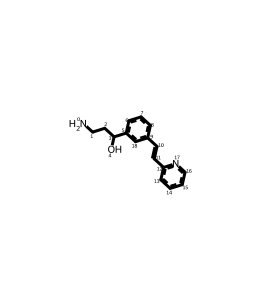 NCCC(O)c1cccc(C=Cc2ccccn2)c1